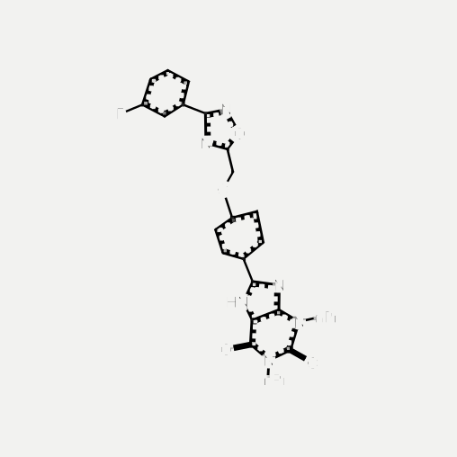 CCCn1c(=O)c2[nH]c(-c3ccc(OCc4nc(-c5cccc(F)c5)no4)cc3)nc2n(CCC)c1=O